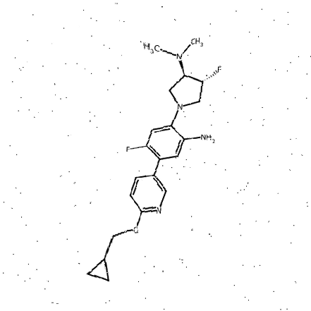 CN(C)[C@@H]1CN(c2cc(F)c(-c3ccc(OCC4CC4)nc3)cc2N)C[C@H]1F